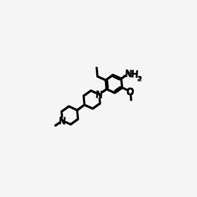 CCc1cc(N)c(OC)cc1N1CCC(C2CCN(C)CC2)CC1